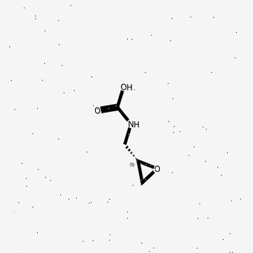 O=C(O)NC[C@H]1CO1